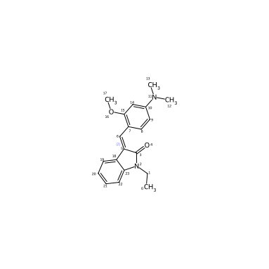 CCN1C(=O)/C(=C\c2ccc(N(C)C)cc2OC)c2ccccc21